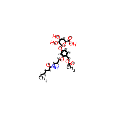 CCCCCC(=O)NCCCOc1cc(O[C@@H]2O[C@H](C(=O)O)C[C@H](O)[C@H]2O)ccc1COC(C)=O